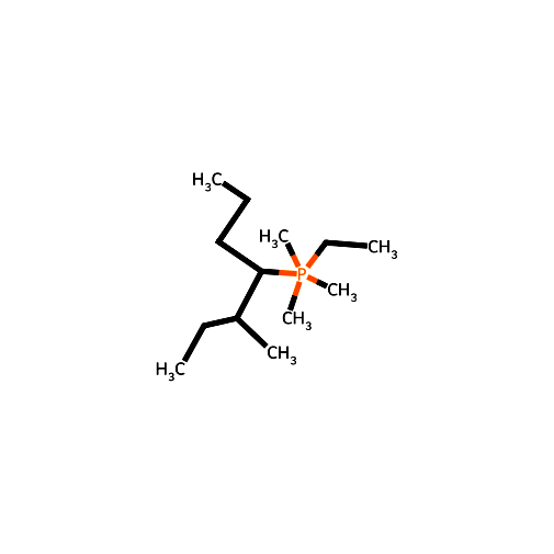 CCCC(C(C)CC)P(C)(C)(C)CC